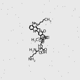 CCCCCN1C=Nc2cccc3nc4c(c1c23)Cn1c-4cc2c(c1=O)COC(=O)[C@@]2(CC)OC(=O)CC[C@H](NC(=O)[C@@H](N)CCCCN)C(=O)O.Cl.Cl